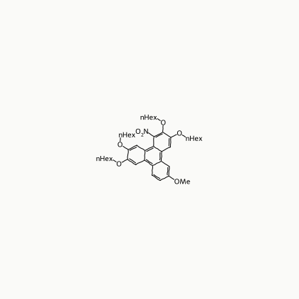 CCCCCCOc1cc2c3ccc(OC)cc3c3cc(OCCCCCC)c(OCCCCCC)c([N+](=O)[O-])c3c2cc1OCCCCCC